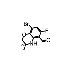 C[C@H]1COc2c(Br)cc(F)c(C=O)c2N1